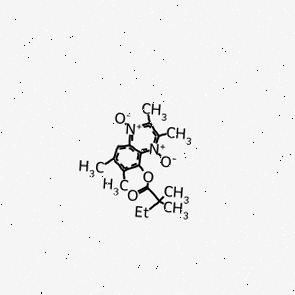 CCC(C)(C)C(=O)Oc1c(C)c(C)cc2c1[n+]([O-])c(C)c(C)[n+]2[O-]